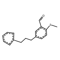 CSc1ccc(CCCc2ccccc2)cc1C=O